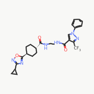 O=C(NCCNC(=O)[C@H]1CC[C@H](c2nc(C3CC3)no2)CC1)c1cn(-c2ccccc2)nc1C(F)(F)F